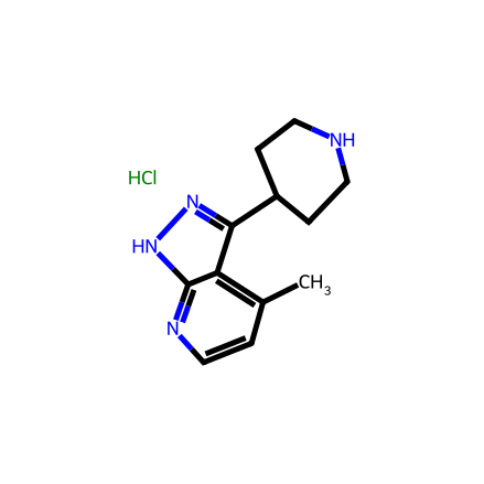 Cc1ccnc2[nH]nc(C3CCNCC3)c12.Cl